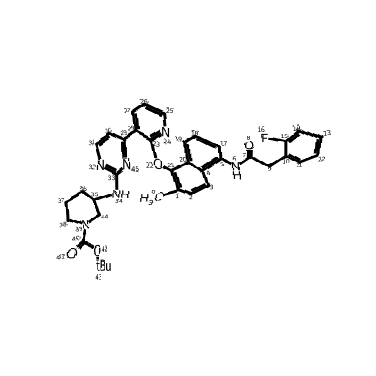 Cc1ccc2c(NC(=O)Cc3ccccc3F)cccc2c1Oc1ncccc1-c1ccnc(NC2CCCN(C(=O)OC(C)(C)C)C2)n1